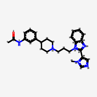 CC(=O)Nc1cccc(C2CCN(CCCn3c(-c4cncn4C)nc4ccccc43)CC2)c1